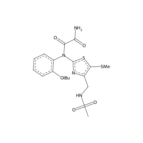 CSc1sc(N(C(=O)C(N)=O)c2ccccc2OCC(C)C)nc1CNS(C)(=O)=O